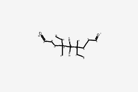 CCC(C)(CCC=O)C(F)(F)C(C)(CC)CCC=O